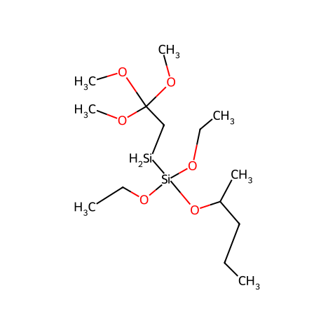 CCCC(C)O[Si](OCC)(OCC)[SiH2]CC(OC)(OC)OC